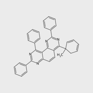 CC1(c2nc(-c3ccccc3)nc3c2ccc2nc(-c4ccccc4)nc(-c4ccccc4)c23)C=CC=CC1